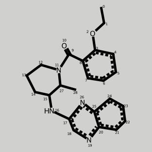 CCOc1ccccc1C(=O)N1CCCC(Nc2cnc3ccccc3n2)C1C